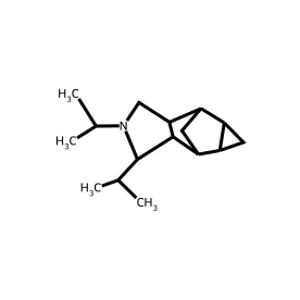 CC(C)C1C2C3CC(C4CC43)C2CN1C(C)C